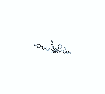 C#CCON=C(C(C)=NOCc1ccccc1C(=COC)C(=O)OC)c1ccc(OCc2ccc(F)cc2)cc1